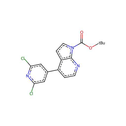 CC(C)(C)OC(=O)n1ccc2c(-c3cc(Cl)nc(Cl)c3)ccnc21